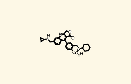 CN(Cc1cc(-c2c3c(nc4cc(CNC5CC5)ccc24)COC3=O)ccc1C(=O)O)C1CCCCC1